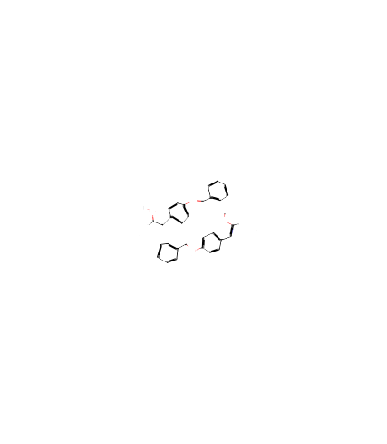 CCOC(=O)/C(=C/c1ccc(OCc2ccccc2)cc1)OCC.CCOC(=O)C(Cc1ccc(OCc2ccccc2)cc1)OCC